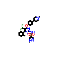 Cc1ccccc1-c1nc(NS(=O)(=O)c2cnn(C)c2)nc(Oc2ccc(C3CCN(C)CC3)cc2)c1C(F)F